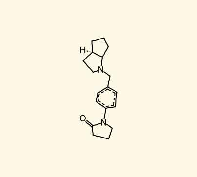 O=C1CCCN1c1ccc(CN2CC[C@H]3CCCC32)cc1